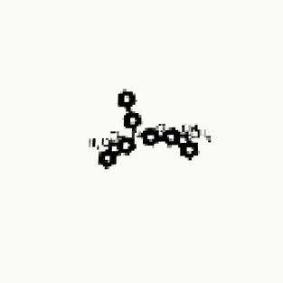 CC1(C)c2ccccc2-c2ccc(N(c3ccc(-c4ccccc4)cc3)c3ccc4c(c3)oc3cc5c(cc34)-c3ccccc3C5(C)C)cc21